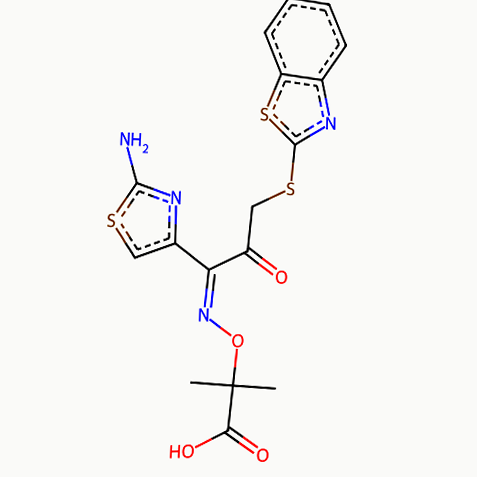 CC(C)(O/N=C(\C(=O)CSc1nc2ccccc2s1)c1csc(N)n1)C(=O)O